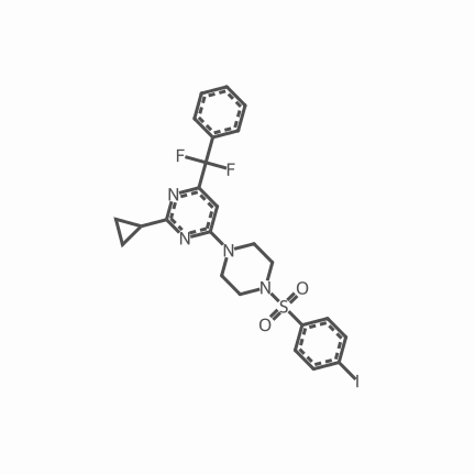 O=S(=O)(c1ccc(I)cc1)N1CCN(c2cc(C(F)(F)c3ccccc3)nc(C3CC3)n2)CC1